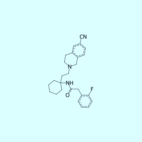 N#Cc1ccc2c(c1)CCN(CCC1(NC(=O)Cc3ccccc3F)CCCCC1)C2